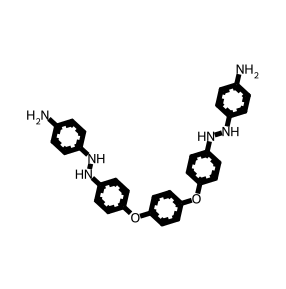 Nc1ccc(NNc2ccc(Oc3ccc(Oc4ccc(NNc5ccc(N)cc5)cc4)cc3)cc2)cc1